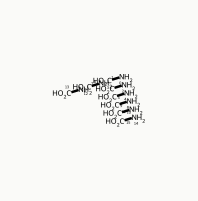 NC(=O)O.NC(=O)O.NC(=O)O.NC(=O)O.NC(=O)O.NC(=O)O.NC(=O)O.NC(=O)O